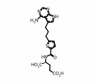 Nc1ncnc2[nH]cc(CCCc3ccc(C(=O)N[C@@H](CCC(=O)O)C(=O)O)s3)c12